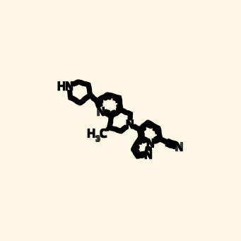 C[C@@H]1CN(c2ccc(C#N)n3nccc23)Cc2ccc(C3CCNCC3)nc21